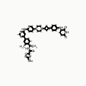 Cc1cc(-c2cc(Nc3ccc(N4CCN(C5CC(c6ccc(N[C@@H]7CCC(=O)NC7=O)cc6)C5)CC4)cn3)ncn2)ccc1[C@@H](C)NC(=O)c1nc(C(C)(C)C)no1